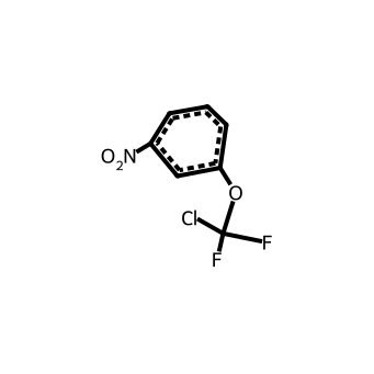 O=[N+]([O-])c1cccc(OC(F)(F)Cl)c1